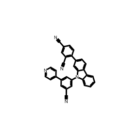 N#Cc1cc(-c2ccncc2)cc(-n2c3ccccc3c3ccc(-c4ccc(C#N)cc4C#N)cc32)c1